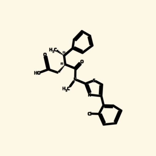 C[C@H](c1ccccc1)[C@@H](CC(=O)O)C(=O)N(C)c1nc(-c2ccccc2Cl)cs1